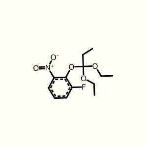 CCOC(CC)(OCC)Oc1c(F)cccc1[N+](=O)[O-]